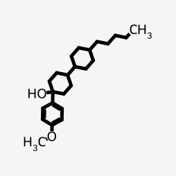 CCCCCC1CCC(C2CCC(O)(c3ccc(OC)cc3)CC2)CC1